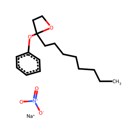 CCCCCCCCC1(Oc2ccccc2)CCO1.O=[N+]([O-])[O-].[Na+]